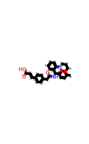 Cc1ccc(C(NC(=O)Cc2ccc(C=CC(=O)O)cc2)c2ccccc2N2CCCCC2)cc1